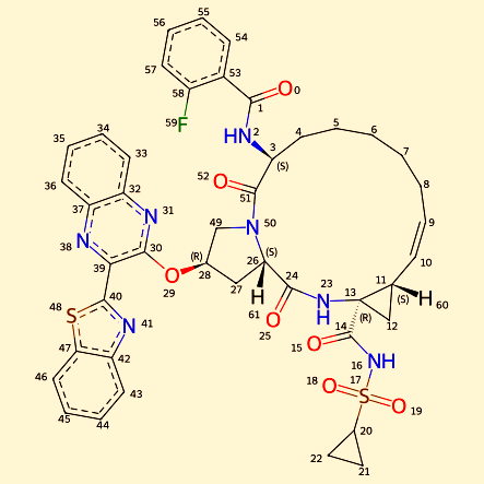 O=C(N[C@H]1CCCCCC=C[C@@H]2C[C@@]2(C(=O)NS(=O)(=O)C2CC2)NC(=O)[C@@H]2C[C@@H](Oc3nc4ccccc4nc3-c3nc4ccccc4s3)CN2C1=O)c1ccccc1F